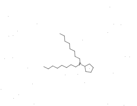 CCCCCCCCP(CCCCCCCC)C1CCCC1